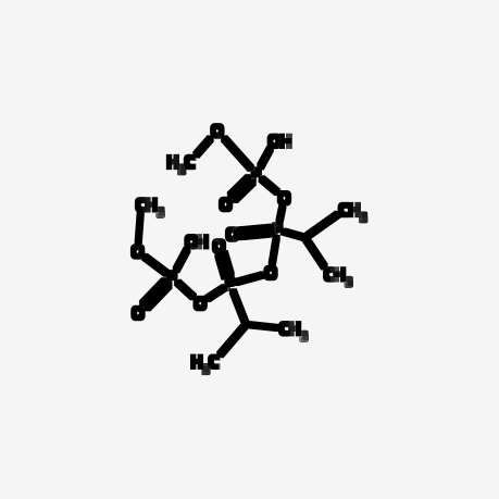 COP(=O)(O)OP(=O)(OP(=O)(OP(=O)(O)OC)C(C)C)C(C)C